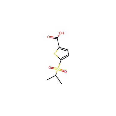 CC(C)S(=O)(=O)c1ccc(C(=O)O)s1